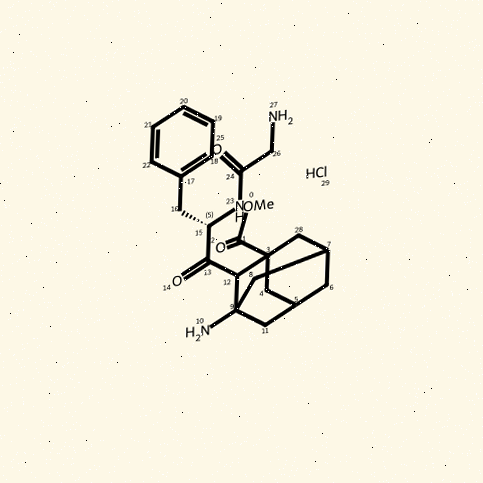 COC(=O)C12CC3CC(CC(N)(C3)C1C(=O)[C@H](Cc1ccccc1)NC(=O)CN)C2.Cl